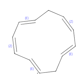 [C]1=C/C=C\C=C\C/C=C\C=C\C/1